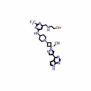 N#CC[C@]1(n2cc(-c3ncnc4[nH]ccc34)cn2)C[C@@H](N2CCC(Nc3cc(CNCCO)nc(C(F)(F)F)n3)CC2)C1